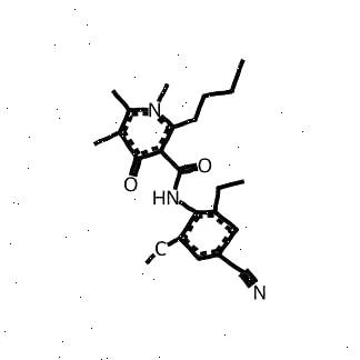 CCCCc1c(C(=O)Nc2c(CC)cc(C#N)cc2CC)c(=O)c(C)c(C)n1C